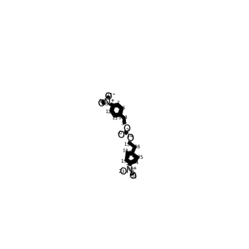 O=C(OCCc1ccc([N+](=O)[O-])cc1)OCCc1ccc([N+](=O)[O-])cc1